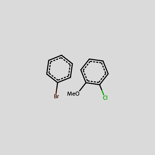 Brc1ccccc1.COc1ccccc1Cl